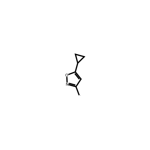 [CH2]c1cc(C2CC2)on1